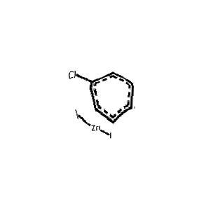 Clc1cc[c]cc1.[I][Zn][I]